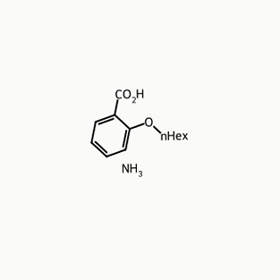 CCCCCCOc1ccccc1C(=O)O.N